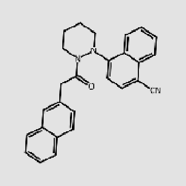 N#Cc1ccc(N2CCCCN2C(=O)Cc2ccc3ccccc3c2)c2ccccc12